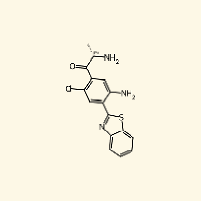 C[C@H](N)C(=O)c1cc(N)c(-c2nc3ccccc3s2)cc1Cl